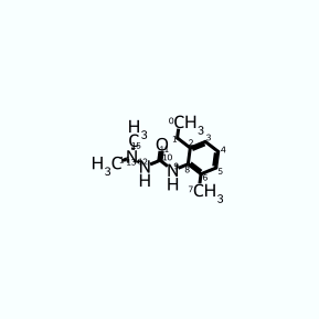 CCc1cccc(C)c1NC(=O)NN(C)C